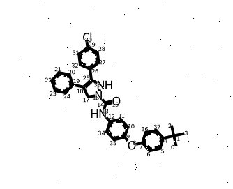 CC(C)(C)c1ccc(Oc2ccc(NC(=O)N3CC(c4ccccc4)=C(c4ccc(Cl)cc4)N3)cc2)cc1